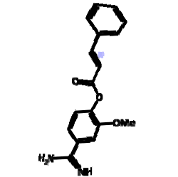 COc1cc(C(=N)N)ccc1OC(=O)/C=C/c1ccccc1